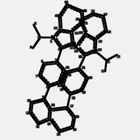 CC(C)n1c(-c2ccc(-c3cccc4cccc(-c5ccc(-c6nc7ccccc7n6C(C)C)cc5)c34)cc2)nc2ccccc21